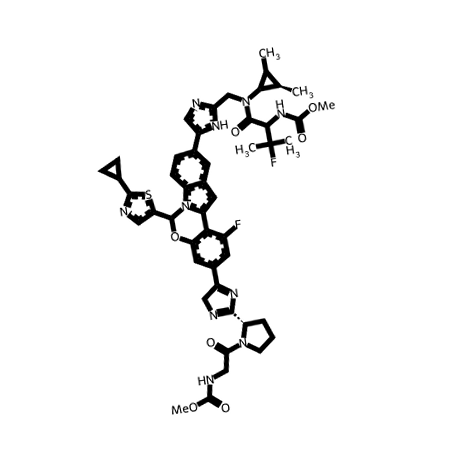 COC(=O)NCC(=O)N1CCC[C@H]1C1=NCC(c2cc(F)c3c(c2)OC(c2cnc(C4CC4)s2)n2c-3cc3cc(-c4cnc(CN(C(=O)C(NC(=O)OC)C(C)(C)F)C5C(C)[C@H]5C)[nH]4)ccc32)=N1